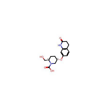 O=C1CCc2ccc(O[C@H]3CC[C@H](CO)N(C(=O)O)C3)cc2N1